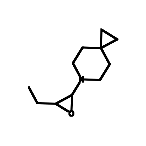 CCC1OC1N1CCC2(CC1)CC2